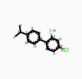 CC(C)c1ccc(-c2ccc(Cl)cc2F)cc1